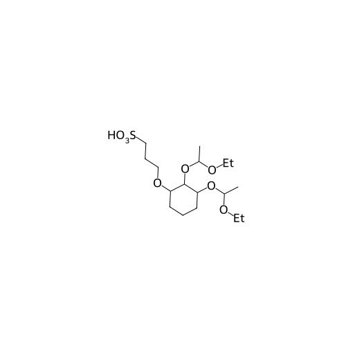 CCOC(C)OC1CCCC(OCCCS(=O)(=O)O)C1OC(C)OCC